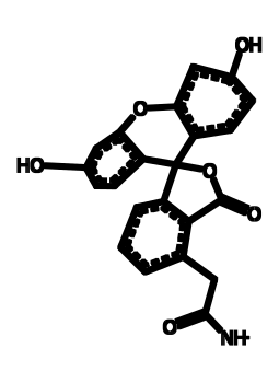 [NH]C(=O)Cc1cccc2c1C(=O)OC21c2ccc(O)cc2Oc2cc(O)ccc21